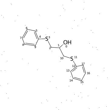 OC(CSc1ccccc1)CSc1ccccc1